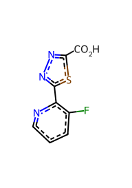 O=C(O)c1nnc(-c2ncccc2F)s1